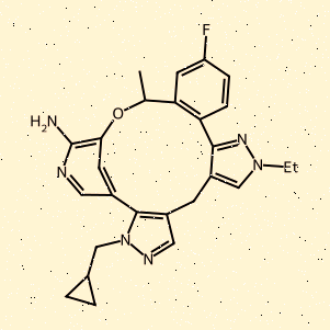 CCn1cc2c(n1)-c1ccc(F)cc1C(C)Oc1cc(cnc1N)-c1c(cnn1CC1CC1)C2